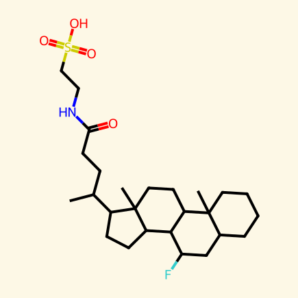 CC(CCC(=O)NCCS(=O)(=O)O)C1CCC2C3C(F)CC4CCCCC4(C)C3CCC12C